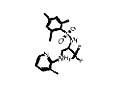 Cc1cc(C)c(S(=O)(=O)NC(CNc2ncccc2C)C(F)(F)F)c(C)c1